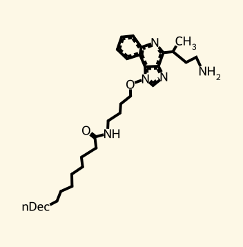 CCCCCCCCCCCCCCCCCC(=O)NCCCCOn1cnc2c(C(C)CCN)nc3ccccc3c21